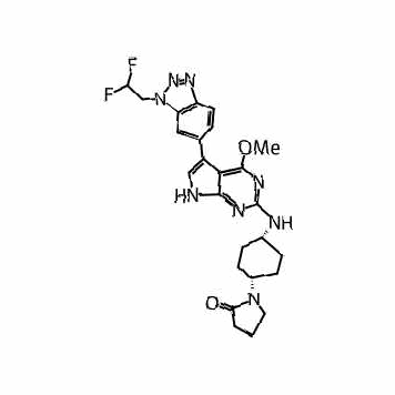 COc1nc(N[C@H]2CC[C@@H](N3CCCC3=O)CC2)nc2[nH]cc(-c3ccc4nnn(CC(F)F)c4c3)c12